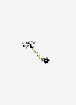 CO[Si](C)(C)CCCSSSSSSSc1nc2ccccc2s1